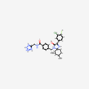 CCCC[C@H](c1ccc(C(=O)NCc2nn[nH]n2)cc1)N1C(=O)C(c2ccc(F)c(Cl)c2)=NC12CCC(C(C)C)CC2